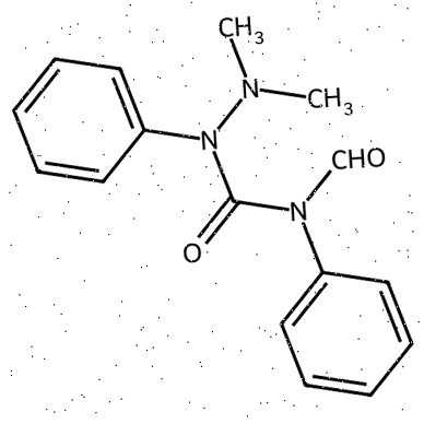 CN(C)N(C(=O)N(C=O)c1ccccc1)c1ccccc1